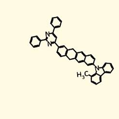 Cc1cccc2c3ccccc3n(-c3ccc4cc5c(cc4c3)Cc3ccc(-c4cc(-c6ccccc6)nc(-c6ccccc6)n4)cc3C5)c12